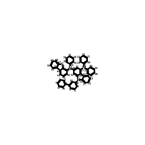 c1ccc(-c2cccc(-n3c4ccccc4c4c(N(c5ccccc5)c5ccccc5)cc(N(c5ccccc5)c5cccc6c5sc5ccccc56)cc43)c2)cc1